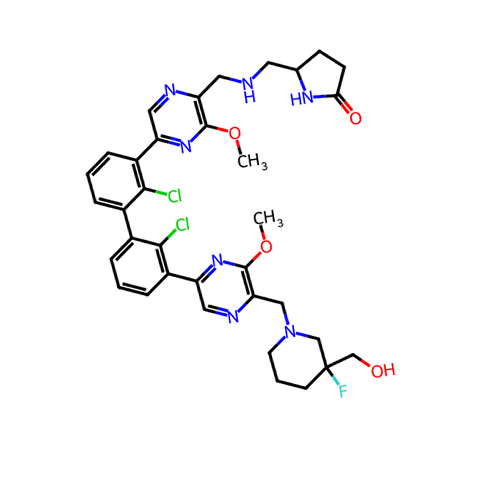 COc1nc(-c2cccc(-c3cccc(-c4cnc(CN5CCCC(F)(CO)C5)c(OC)n4)c3Cl)c2Cl)cnc1CNCC1CCC(=O)N1